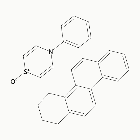 [O-][S+]1C=CN(c2ccccc2)C=C1.c1ccc2c(c1)ccc1c3c(ccc12)CCCC3